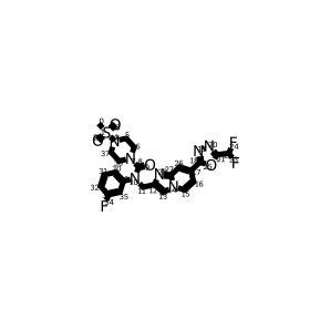 CS(=O)(=O)N1CCN(C(=O)N(Cc2cn3ccc(-c4nnc(C(F)F)o4)cc3n2)c2cccc(F)c2)CC1